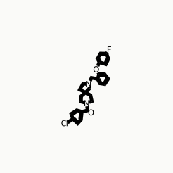 O=C(c1ccc(Cl)cc1)N1CCC2(CCN(Cc3ccccc3Oc3ccc(F)cc3)C2)CC1